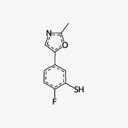 Cc1ncc(-c2ccc(F)c(S)c2)o1